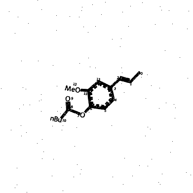 CC=Cc1ccc(OC(=O)CCCC)c(OC)c1